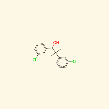 CC(C)(c1cccc(Cl)c1)C(O)c1cccc(Cl)c1